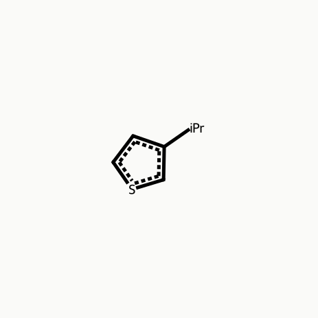 CC(C)c1ccsc1